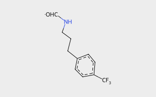 O=[C]NCCCc1ccc(C(F)(F)F)cc1